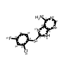 Nc1ncnc2[nH]c(Sc3ccc(F)cc3Cl)nc12